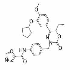 CCC1OC(=O)N(Cc2ccc(NC(=O)c3cnco3)cc2)N=C1c1ccc(OC)c(OC2CCCC2)c1